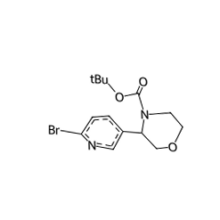 CC(C)(C)OC(=O)N1CCOCC1c1ccc(Br)nc1